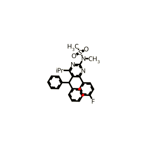 CC(C)c1nc(N(C)S(C)(=O)=O)nc(-c2ccc(F)cc2)c1C(c1ccccc1)c1ccccc1